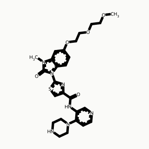 COCCOCCOc1ccc2c(c1)n(C)c(=O)n2-c1nc(C(=O)Nc2cnccc2N2CCNCC2)cs1